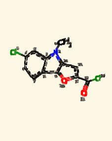 Cn1c2cc(Cl)ccc2c2oc(C(=O)Cl)cc21